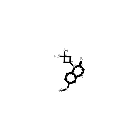 CCCOc1ccc2c(c1)ncc(=O)n2C1CC(C)(O)C1